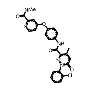 CNC(=O)c1cc(Oc2ccc(NC(=O)c3nn(-c4ccccc4Cl)c(=O)cc3C)cc2)ccn1